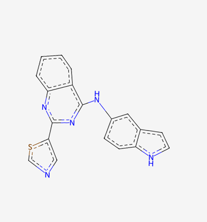 c1ccc2c(Nc3ccc4[nH]ccc4c3)nc(-c3cncs3)nc2c1